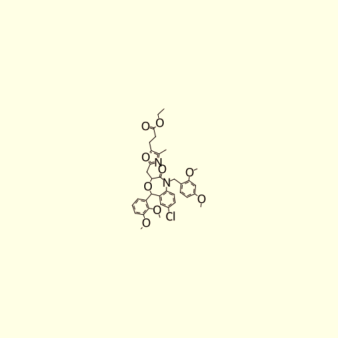 CCOC(=O)CCc1oc(CC2OC(c3cccc(OC)c3OC)c3cc(Cl)ccc3N(Cc3ccc(OC)cc3OC)C2=O)nc1C